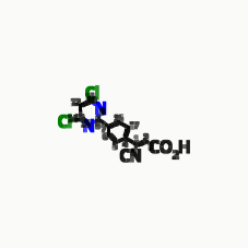 N#CC(=CC(=O)O)c1ccc(-c2nc(Cl)cc(Cl)n2)cc1